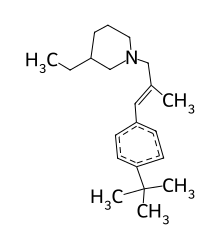 CCC1CCCN(CC(C)=Cc2ccc(C(C)(C)C)cc2)C1